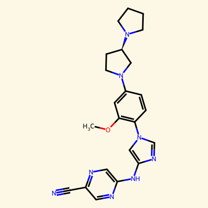 COc1cc(N2CC[C@@H](N3CCCC3)C2)ccc1-n1cnc(Nc2cnc(C#N)cn2)c1